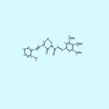 COc1cc(C=CC(=O)N2CCC=C(C#Cc3ccccc3Cl)C2=O)cc(OC)c1OC